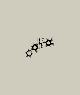 O=C(Nc1ccc(N2CCCCC2)c(F)c1)Nc1ccc(F)c(Cl)c1